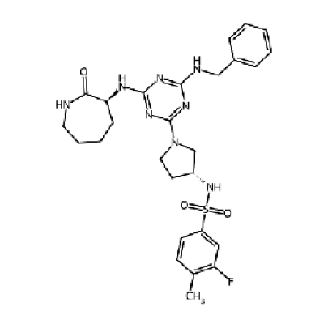 Cc1ccc(S(=O)(=O)N[C@@H]2CCN(c3nc(NCc4ccccc4)nc(N[C@H]4CCCCNC4=O)n3)C2)cc1F